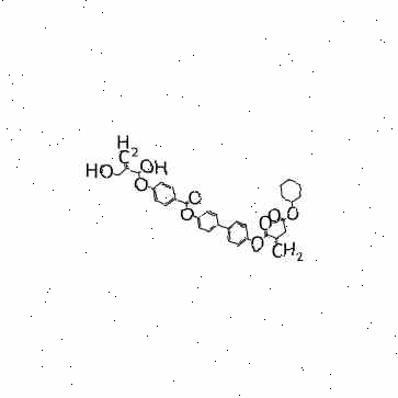 C=C(CC(=O)OC1CCCCC1)C(=O)Oc1ccc(-c2ccc(OC(=O)c3ccc(OC(O)C(=C)CO)cc3)cc2)cc1